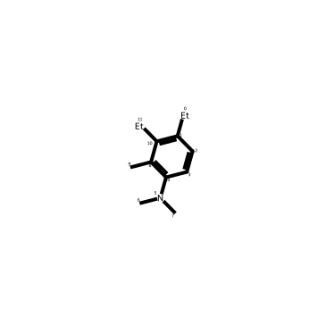 CCc1ccc(N(C)C)c(C)c1CC